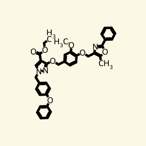 CCOC(=O)c1cn(Cc2ccc(Oc3ccccc3)cc2)nc1OCc1ccc(OCc2nc(-c3ccccc3)oc2C)c(OC)c1